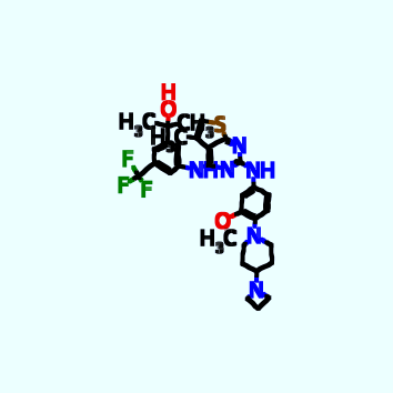 COc1cc(Nc2nc(Nc3cc(C(C)(C)O)cc(C(F)(F)F)c3)c3c(C)csc3n2)ccc1N1CCC(N2CCC2)CC1